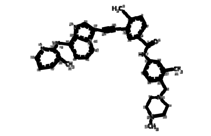 Cc1ccc(C(=O)Nc2ccc(CN3CCN(C)CC3)c(C(F)(F)F)c2)cc1C#Cc1cnc2c(Nc3ncccc3C)cccn12